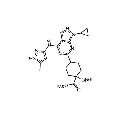 COC(=O)C1(OC)CCC(c2nc(Nc3cc(C)[nH]n3)c3cnn(C4CC4)c3n2)CC1